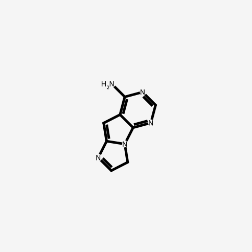 Nc1ncnc2c1cc1n2CC=N1